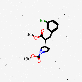 CC(C)(C)OC(=O)C(Cc1cccc(Br)c1)[C@H]1CCN(C(=O)OC(C)(C)C)C1